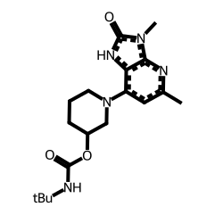 Cc1cc(N2CCCC(OC(=O)NC(C)(C)C)C2)c2[nH]c(=O)n(C)c2n1